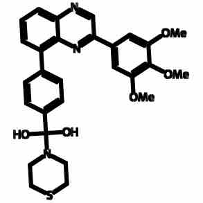 COc1cc(-c2cnc3cccc(-c4ccc(C(O)(O)N5CCSCC5)cc4)c3n2)cc(OC)c1OC